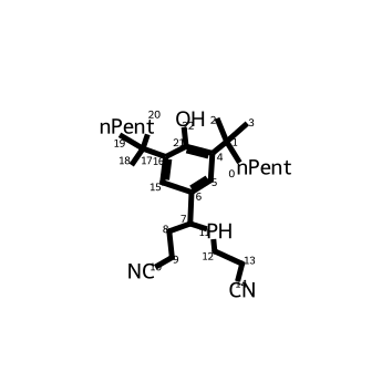 CCCCCC(C)(C)c1cc(C(CCC#N)PCCC#N)cc(C(C)(C)CCCCC)c1O